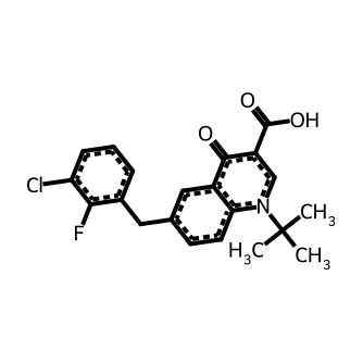 CC(C)(C)n1cc(C(=O)O)c(=O)c2cc(Cc3cccc(Cl)c3F)ccc21